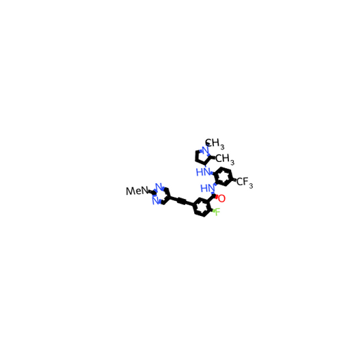 CNc1ncc(C#Cc2ccc(F)c(C(=O)Nc3cc(C(F)(F)F)ccc3N[C@@H]3CCN(C)C3C)c2)cn1